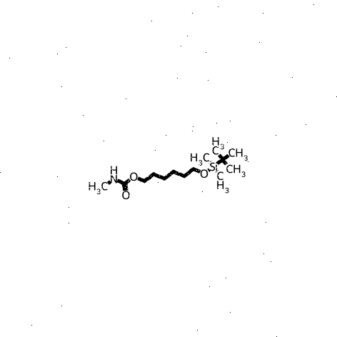 CNC(=O)OCCCCCCO[Si](C)(C)C(C)(C)C